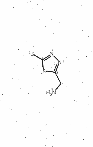 NCc1nnc([S])s1